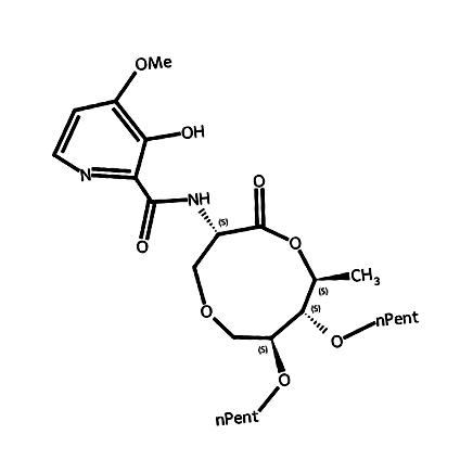 CCCCCO[C@H]1[C@H](C)OC(=O)[C@@H](NC(=O)c2nccc(OC)c2O)COC[C@@H]1OCCCCC